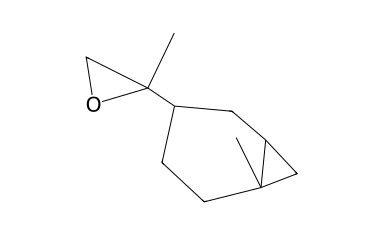 CC12CCC(C3(C)CO3)CC1C2